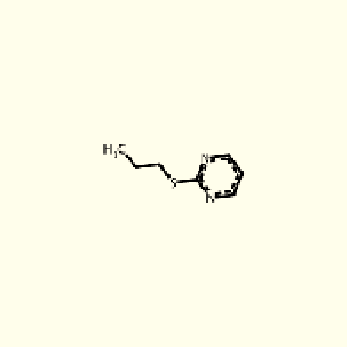 CCCSc1ncccn1